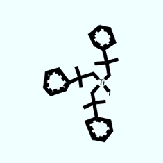 CC(C)([CH2][Ti]([I])([CH2]C(C)(C)c1ccccc1)[CH2]C(C)(C)c1ccccc1)c1ccccc1